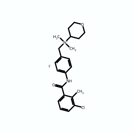 Cc1c(Cl)cccc1C(=O)Nc1ccc(C[N+](C)(C)C2CCOCC2)cc1.[I-]